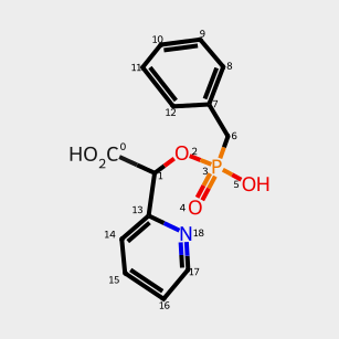 O=C(O)C(OP(=O)(O)Cc1ccccc1)c1ccccn1